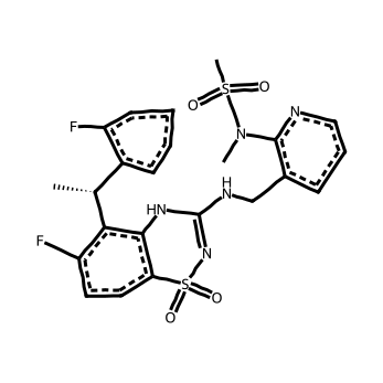 C[C@H](c1ccccc1F)c1c(F)ccc2c1NC(NCc1cccnc1N(C)S(C)(=O)=O)=NS2(=O)=O